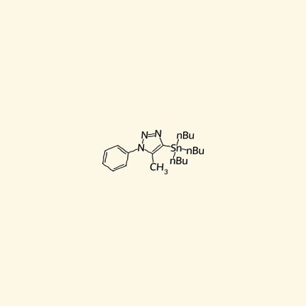 CCC[CH2][Sn]([CH2]CCC)([CH2]CCC)[c]1nnn(-c2ccccc2)c1C